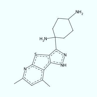 Cc1cc(C)c2c(n1)sc1c(C3(N)CCC(N)CC3)n[nH]c12